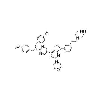 COc1ccc(CN(Cc2ccc(OC)cc2)c2ncc(-c3nc(N4CCOCC4)nc4c3CCN4c3cccc(CCN4CCNCC4)c3)cn2)cc1